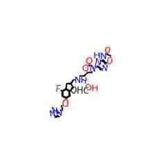 O=C1COc2ncc(N3CC(CCNCC4Cc5cc(OCCn6ccnn6)cc(F)c5C4)OC3=O)nc2N1.O=CO